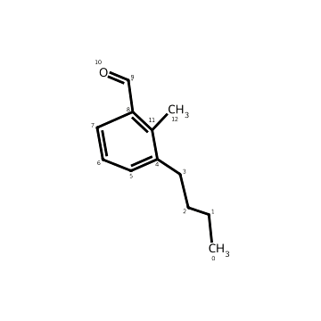 CCCCc1cccc([C]=O)c1C